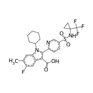 Cc1cc2c(cc1F)c(C(=O)O)c(-c1ccc(S(=O)(=O)NC3(C(F)(F)F)CC3)cn1)n2C1CCCCC1